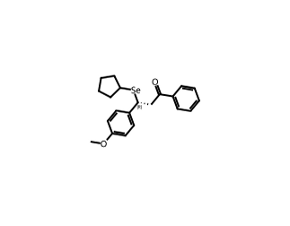 COc1ccc([C@@H](CC(=O)c2ccccc2)[Se]C2CCCC2)cc1